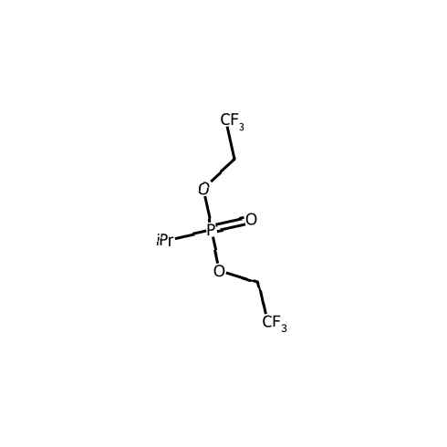 CC(C)P(=O)(OCC(F)(F)F)OCC(F)(F)F